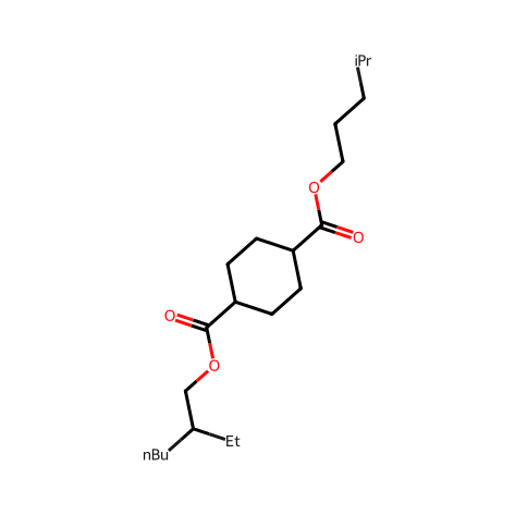 CCCCC(CC)COC(=O)C1CCC(C(=O)OCCCC(C)C)CC1